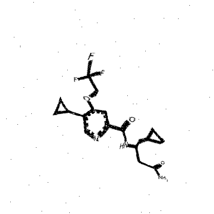 NC(=O)CC(NC(=O)c1cc(OCC(F)(F)F)c(C2CC2)cn1)C1CC1